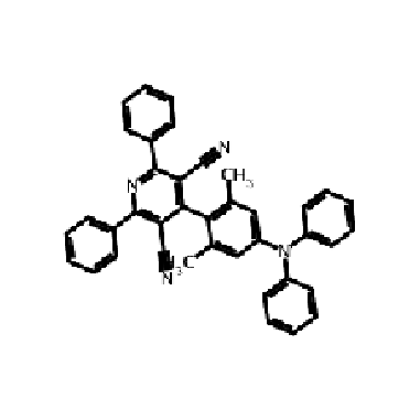 Cc1cc(N(c2ccccc2)c2ccccc2)cc(C)c1-c1c(C#N)c(-c2ccccc2)nc(-c2ccccc2)c1C#N